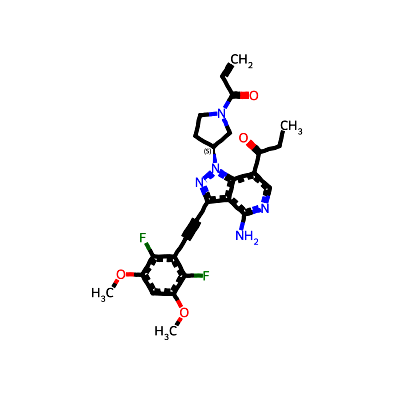 C=CC(=O)N1CC[C@H](n2nc(C#Cc3c(F)c(OC)cc(OC)c3F)c3c(N)ncc(C(=O)CC)c32)C1